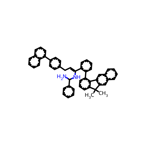 CC1(C)c2cc3ccccc3cc2-c2c(-c3ccccc3/C(=C/Cc3ccc(-c4cccc5ccccc45)cc3)NC(N)c3ccccc3)cccc21